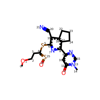 COCCC(Sc1nc(-c2cc(=O)n(C)cn2)c2c(c1C#N)CCC2)=S=O